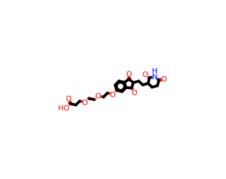 O=C(O)CCOCCOCCOc1ccc2c(c1)C(=O)C(CCC1CCC(=O)NC1=O)C2=O